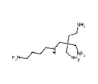 NCCCCNCC(CN)(CN)CCN